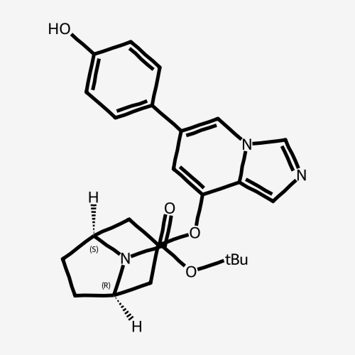 CC(C)(C)OC(=O)N1[C@@H]2CC[C@H]1CC(Oc1cc(-c3ccc(O)cc3)cn3cncc13)C2